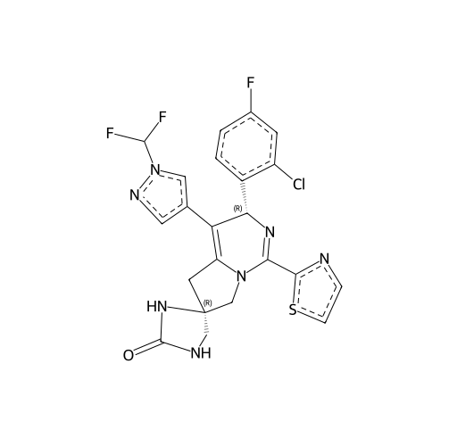 O=C1NC[C@@]2(CC3=C(c4cnn(C(F)F)c4)[C@H](c4ccc(F)cc4Cl)N=C(c4nccs4)N3C2)N1